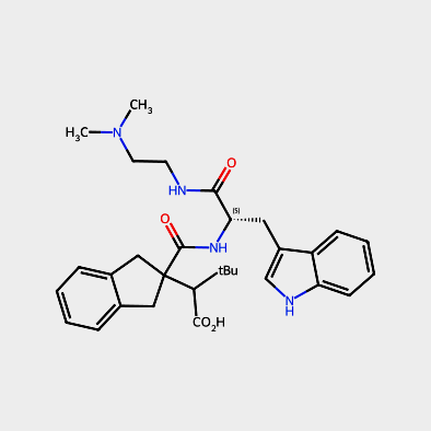 CN(C)CCNC(=O)[C@H](Cc1c[nH]c2ccccc12)NC(=O)C1(C(C(=O)O)C(C)(C)C)Cc2ccccc2C1